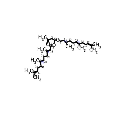 C=C(C)CC(OC/C=C(\C)CC/C=C(\C)CCC=C(C)C)OC/C=C(\C)CC/C=C(\C)CCC=C(C)C